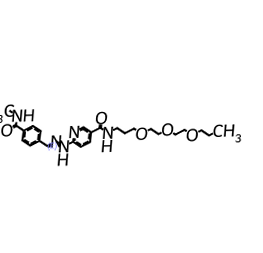 CCCOCCOCCOCCCNC(=O)c1ccc(N/N=C/c2ccc(C(=O)NC)cc2)nc1